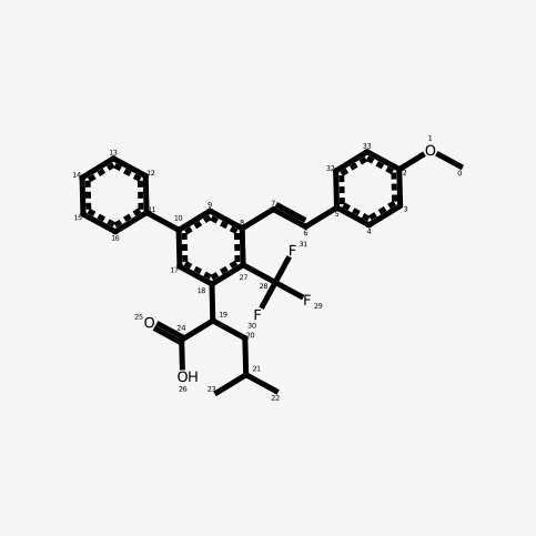 COc1ccc(/C=C/c2cc(-c3ccccc3)cc(C(CC(C)C)C(=O)O)c2C(F)(F)F)cc1